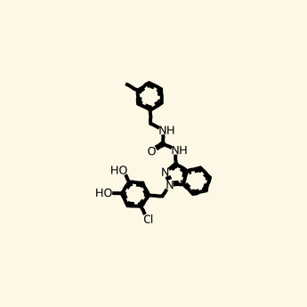 Cc1cccc(CNC(=O)Nc2nn(Cc3cc(O)c(O)cc3Cl)c3ccccc23)c1